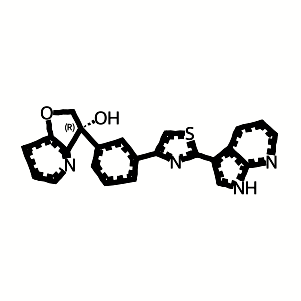 O[C@@]1(c2cccc(-c3csc(-c4c[nH]c5ncccc45)n3)c2)COc2cccnc21